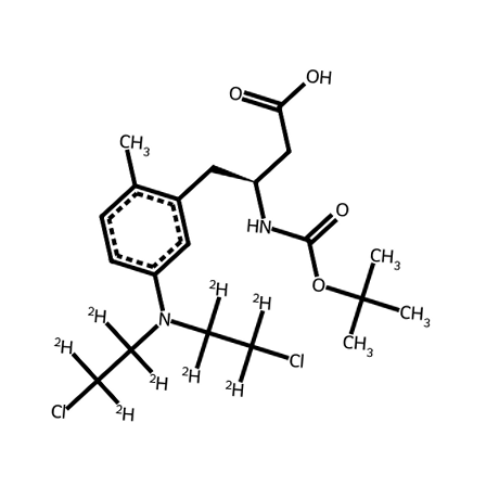 [2H]C([2H])(Cl)C([2H])([2H])N(c1ccc(C)c(C[C@@H](CC(=O)O)NC(=O)OC(C)(C)C)c1)C([2H])([2H])C([2H])([2H])Cl